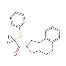 O=C(N1CC2CCc3ccccc3C2C1)C1(Sc2ccccc2)CC1